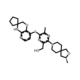 Cc1nc(N2CCC3(CC2)CO[C@@H](C)C3)c(CO)nc1Sc1ccnc2c1OCC1(CCCC1)N2